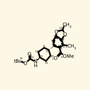 COC(=O)c1c(C)c2c(cc1[C@H]1CC[C@H](NC(=O)OC(C)(C)C)CC1)OC(C)O2